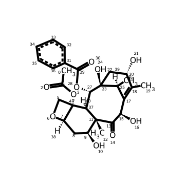 CC(=O)O[C@@]12CO[C@@H]1C[C@H](O)[C@@]1(C)C(=O)[C@H](O)C3=C(C)[C@@H](O)C[C@](O)([C@H]3C)[C@@H](OC(=O)c3ccccc3)[C@H]21